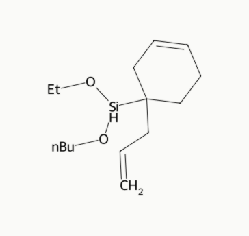 C=CCC1([SiH](OCC)OCCCC)CC=CCC1